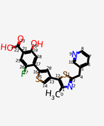 Cc1nc(Cc2cccnc2)sc1-c1csc(-c2cc(O)c(C(=O)O)cc2F)c1